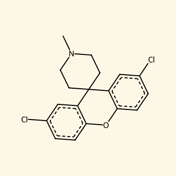 CN1CCC2(CC1)c1cc(Cl)ccc1Oc1ccc(Cl)cc12